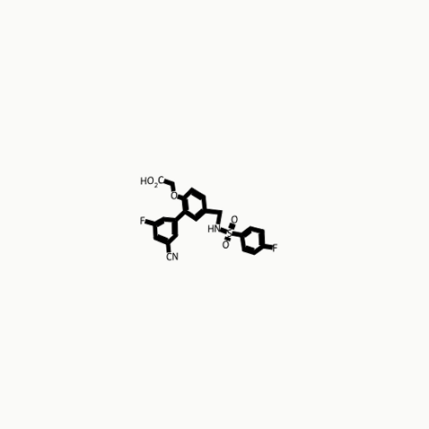 N#Cc1cc(F)cc(-c2cc(CNS(=O)(=O)c3ccc(F)cc3)ccc2OCC(=O)O)c1